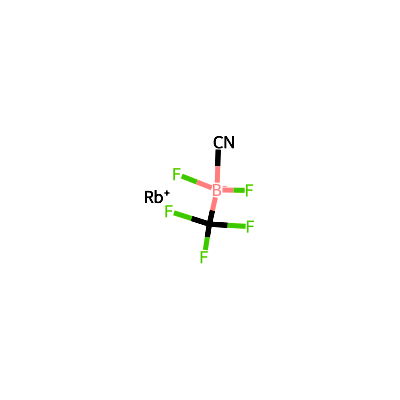 N#C[B-](F)(F)C(F)(F)F.[Rb+]